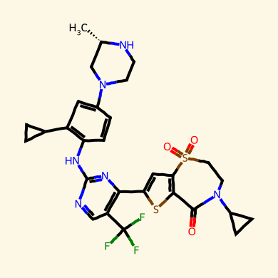 C[C@H]1CN(c2ccc(Nc3ncc(C(F)(F)F)c(-c4cc5c(s4)C(=O)N(C4CC4)CCS5(=O)=O)n3)c(C3CC3)c2)CCN1